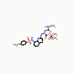 CNC(=O)CN(Cc1ccc2cccc(NS(=O)(=O)c3ccc(C)cc3)c2n1)C(=O)OC(C)(C)C